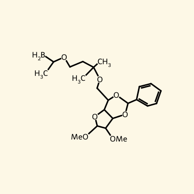 BC(C)OCCC(C)(C)OCC1OC(c2ccccc2)OC2C1OC(OC)C2OC